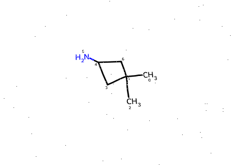 CC1(C)CC(N)C1